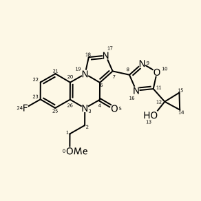 COCCn1c(=O)c2c(-c3noc(C4(O)CC4)n3)ncn2c2ccc(F)cc21